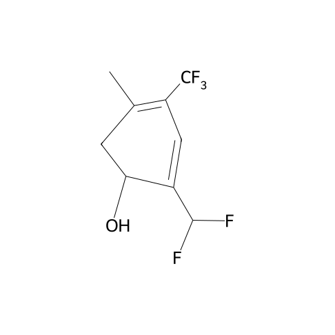 CC1=C(C(F)(F)F)C=C(C(F)F)C(O)C1